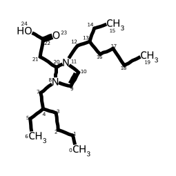 CCCCC(CC)CN1C=CN(CC(CC)CCCC)C1CC(=O)O